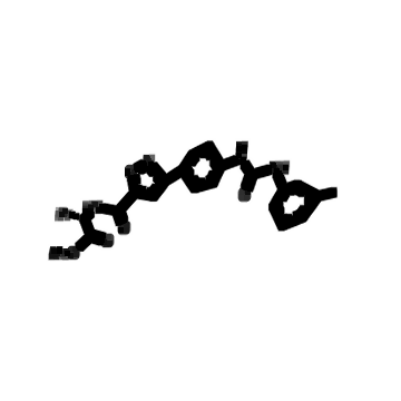 COC(=O)[C@@H](NC(=O)c1cc(-c2ccc(NC(=O)Nc3cccc(C)c3)cc2)no1)C(C)C